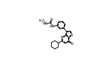 CNC(=O)Nc1cccc(-c2csc3c(=O)cc(N4CCCCC4)oc23)c1